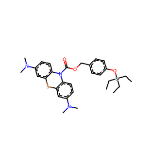 CC[Si](CC)(CC)Oc1ccc(COC(=O)N2c3ccc(N(C)C)cc3Sc3cc(N(C)C)ccc32)cc1